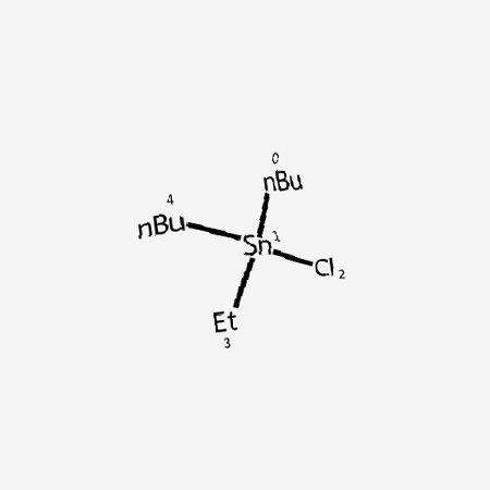 CCC[CH2][Sn]([Cl])([CH2]C)[CH2]CCC